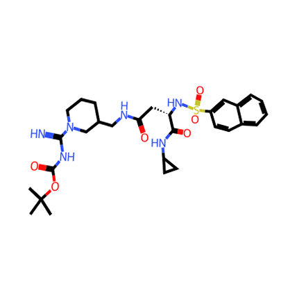 CC(C)(C)OC(=O)NC(=N)N1CCCC(CNC(=O)C[C@H](NS(=O)(=O)c2ccc3ccccc3c2)C(=O)NC2CC2)C1